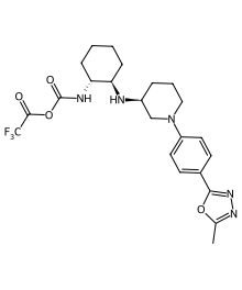 Cc1nnc(-c2ccc(N3CCC[C@H](N[C@@H]4CCCC[C@H]4NC(=O)OC(=O)C(F)(F)F)C3)cc2)o1